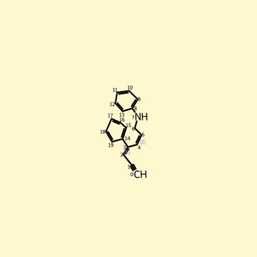 C#C/C=C(\C=C/CNc1ccccc1)c1ccccc1